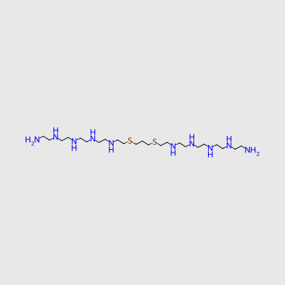 NCCNCCNCCNCCNCCSCCCSCCNCCNCCNCCNCCN